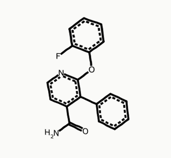 NC(=O)c1ccnc(Oc2ccccc2F)c1-c1ccccc1